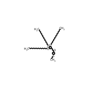 CCCCCCCCCCCCCCCCCCOc1cc(/C=C/C(=O)c2ccc(SCCCC)cc2)cc(OCCCCCCCCCCCCCCCCCC)c1OCCCCCCCCCCCCCCCCCC